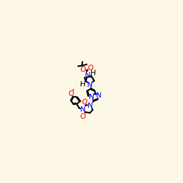 COc1ccc(CN2C(=O)CCN(c3cnc4cc(N5C[C@H]6C[C@@H]5CN6C(=O)OC(C)(C)C)ccn34)C2=O)cc1